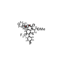 C=CC(=O)N1C2COCC1CN(c1nc(=O)n3c4c(c(-c5ccc(F)cc5)c(C(F)(F)F)cc14)SC[C@@H]3COC)C2